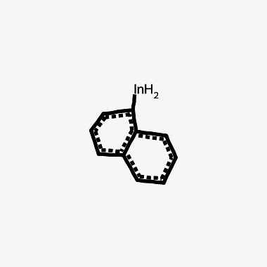 [InH2][c]1cccc2ccccc12